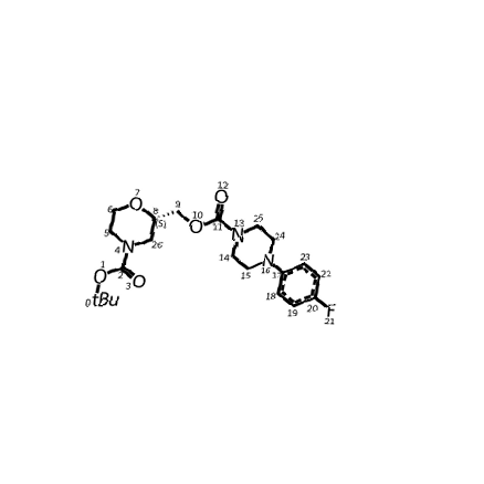 CC(C)(C)OC(=O)N1CCO[C@H](COC(=O)N2CCN(c3ccc(F)cc3)CC2)C1